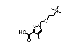 Cc1cn(COCC[Si](C)(C)C)nc1C(=O)O